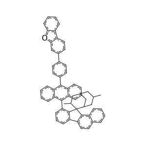 CC1CC2CC(C)C3(c4c(cccc4-c4c5ccccc5c(-c5ccc(-c6ccc7c(c6)oc6ccccc67)cc5)c5ccccc45)-c4ccc5ccccc5c43)C(C1)C2